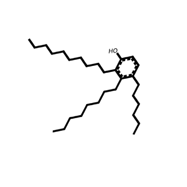 CCCCCCCCCCc1c(O)ccc(CCCCCC)c1CCCCCCCC